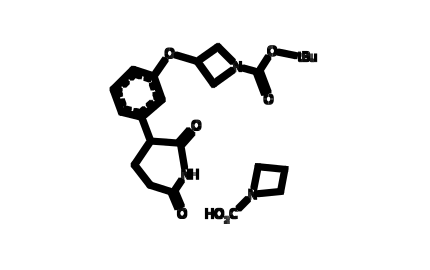 CC(C)(C)OC(=O)N1CC(Oc2cccc(C3CCC(=O)NC3=O)c2)C1.O=C(O)N1CCC1